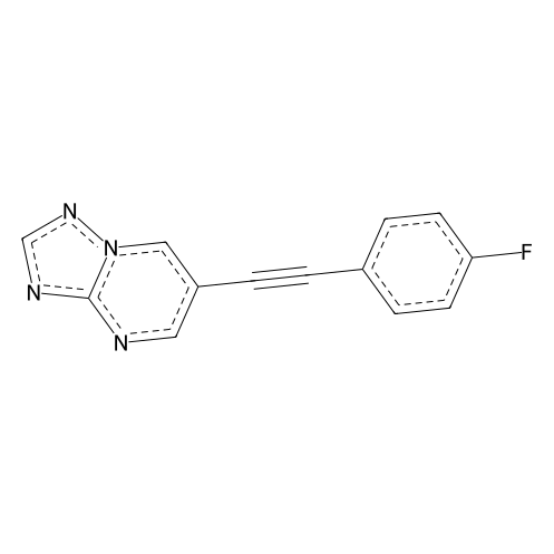 Fc1ccc(C#Cc2cnc3ncnn3c2)cc1